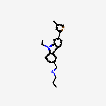 CCCNCc1ccc2c(c1)c1ccc(-c3cc(C)cs3)cc1n2CC